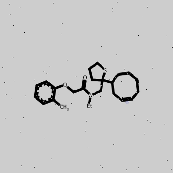 CCN(CC1(C2C/C=C\CCCC2)CCCS1)C(=O)COc1ccccc1C